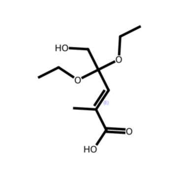 CCOC(/C=C(\C)C(=O)O)(CO)OCC